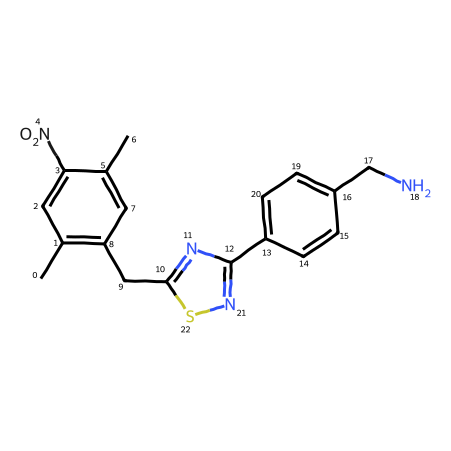 Cc1cc([N+](=O)[O-])c(C)cc1Cc1nc(-c2ccc(CN)cc2)ns1